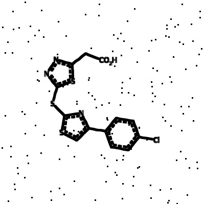 O=C(O)Cc1nnc(Sc2nc(-c3ccc(Cl)cc3)cs2)s1